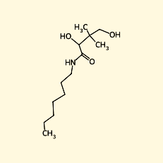 CCCCCCCNC(=O)C(O)C(C)(C)CO